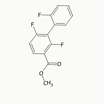 COC(=O)c1ccc(F)c(-c2ccccc2F)c1F